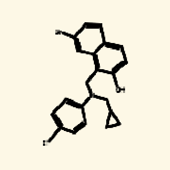 Oc1ccc2ccc(Br)cc2c1CN(CC1CC1)c1ccc(Cl)cc1